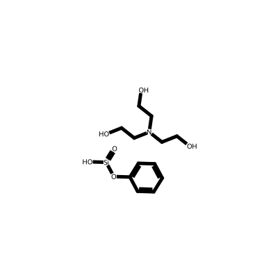 O=[Si](O)Oc1ccccc1.OCCN(CCO)CCO